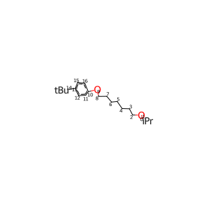 CC(C)OCCCCCCCOc1ccc(C(C)(C)C)cc1